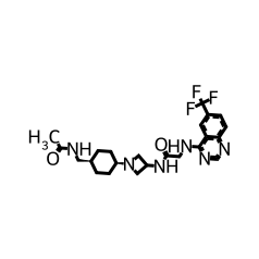 CC(=O)NC[C@H]1CC[C@@H](N2CC(NC(=O)CNc3ncnc4ccc(C(F)(F)F)cc34)C2)CC1